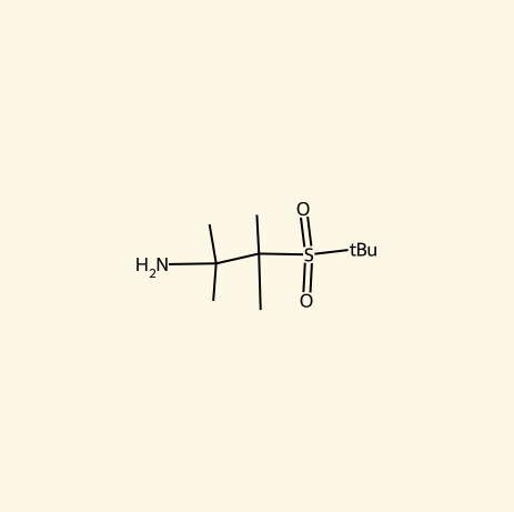 CC(C)(N)C(C)(C)S(=O)(=O)C(C)(C)C